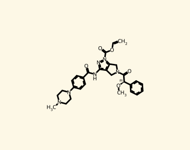 C=COC(=O)n1nc(NC(=O)c2ccc(N3CCN(C)CC3)cc2)c2c1CN(C(=O)[C@H](OC)c1ccccc1)C2